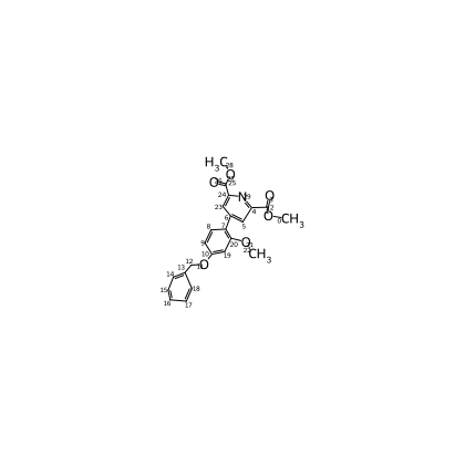 COC(=O)c1cc(-c2ccc(OCc3ccccc3)cc2OC)cc(C(=O)OC)n1